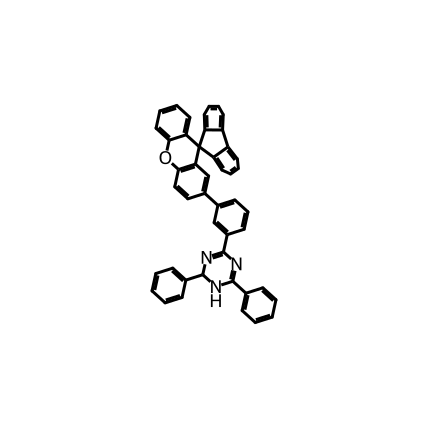 c1ccc(C2=NC(c3cccc(-c4ccc5c(c4)C4(c6ccccc6O5)c5ccccc5-c5ccccc54)c3)=NC(c3ccccc3)N2)cc1